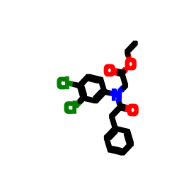 CCOC(=O)CN(C(=O)Cc1ccccc1)c1ccc(Cl)c(Cl)c1